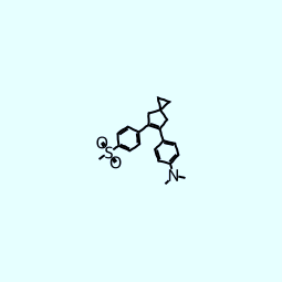 CN(C)c1ccc(C2=C(c3ccc(S(C)(=O)=O)cc3)CC3(CC3)C2)cc1